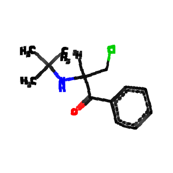 [3H]C(CCl)(NC(C)(C)C)C(=O)c1ccccc1